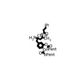 CCCCCC(=O)Oc1ccc(CC(N)(C[C@H](C)OC(=O)CCC(C)C)C(=O)O)cc1OC(=O)CCCCC